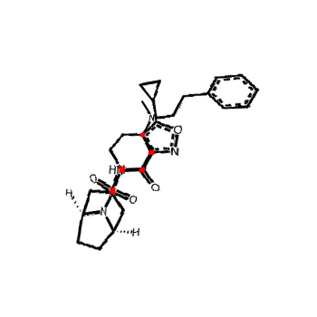 CN(CCc1ccccc1)C1CCN(S(=O)(=O)N2[C@@H]3CC[C@H]2C[C@@H](NC(=O)c2cc(C4CC4)on2)C3)CC1